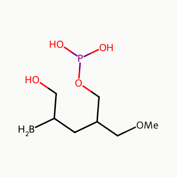 BC(CO)CC(COC)COP(O)O